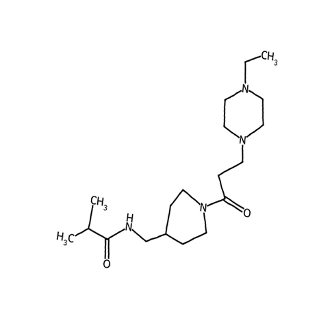 CCN1CCN(CCC(=O)N2CCC(CNC(=O)C(C)C)CC2)CC1